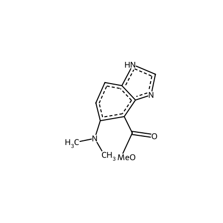 COC(=O)c1c(N(C)C)ccc2[nH]cnc12